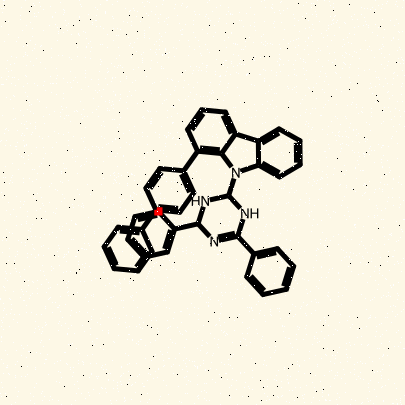 c1ccc(C2=NC(c3ccccc3)NC(n3c4ccccc4c4cccc(-c5ccc(-c6ccccc6)cc5)c43)N2)cc1